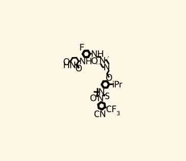 CC(C)c1cc(N2C(=S)N(c3ccc(C#N)c(C(F)(F)F)c3)C(=O)C2(C)C)ccc1OCCN1C[C@@H](C)N(CC(=O)Nc2cc(F)cc(NC3CCC(=O)NC3=O)c2)[C@@H](C)C1